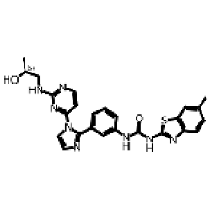 Cc1ccc2nc(NC(=O)Nc3cccc(-c4nccn4-c4ccnc(NC[C@H](C)O)n4)c3)sc2c1